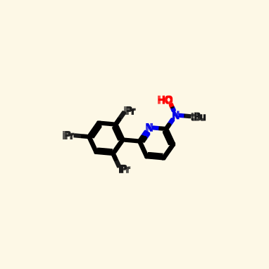 CC(C)c1cc(C(C)C)c(-c2cccc(N(O)C(C)(C)C)n2)c(C(C)C)c1